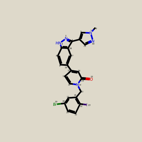 Cn1cc(-c2n[nH]c3ccc(-c4ccn(Cc5cc(Br)ccc5I)c(=O)c4)cc23)cn1